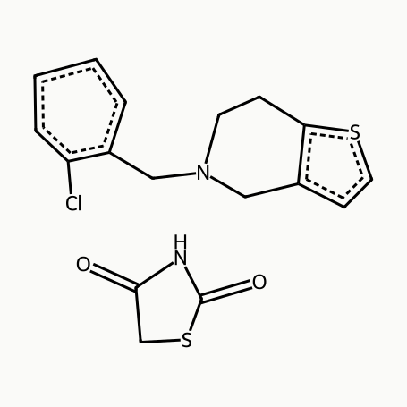 Clc1ccccc1CN1CCc2sccc2C1.O=C1CSC(=O)N1